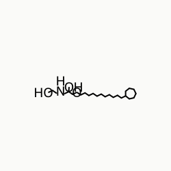 OCCNCC(O)COCCCCCCCCCCCC1CCCCCC1